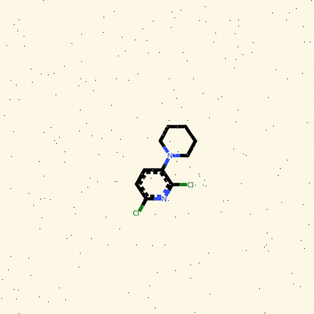 Clc1ccc(N2CC[CH]CC2)c(Cl)n1